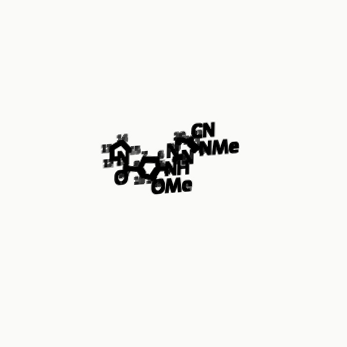 CNc1nc(Nc2ccc(C(=O)N3CCCC3)cc2OC)ncc1C#N